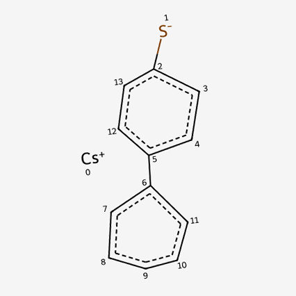 [Cs+].[S-]c1ccc(-c2ccccc2)cc1